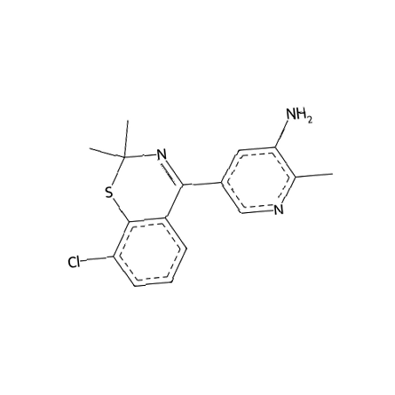 Cc1ncc(C2=NC(C)(C)Sc3c(Cl)cccc32)cc1N